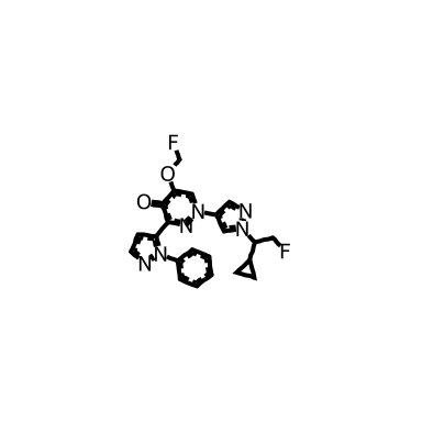 O=c1c(OCF)cn(-c2cnn(C(CF)C3CC3)c2)nc1-c1ccnn1-c1ccccc1